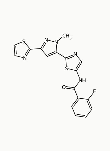 Cn1nc(-c2nccs2)cc1-c1ncc(NC(=O)c2ccccc2F)s1